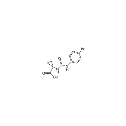 O=C(Nc1ccc(Br)cc1)NC1(C(=O)O)CC1